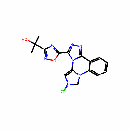 CC(C)(O)c1noc(-c2nnc3n2C2=CN(Cl)CN2c2ccccc2-3)n1